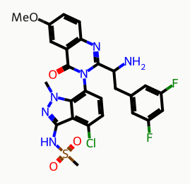 COc1ccc2nc(C(N)Cc3cc(F)cc(F)c3)n(-c3ccc(Cl)c4c(NS(C)(=O)=O)nn(C)c34)c(=O)c2c1